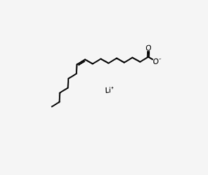 CCCCCC/C=C\CCCCCCCC(=O)[O-].[Li+]